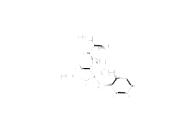 CC[C@](C)(Cc1ccccc1)C(=O)NCC(=O)O